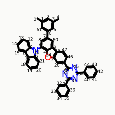 Cc1cc(C)cc(-c2cc(-n3c4ccccc4c4ccccc43)c3oc4cc(-c5nc(-c6ccccc6)nc(-c6ccccc6)n5)ccc4c3c2)c1